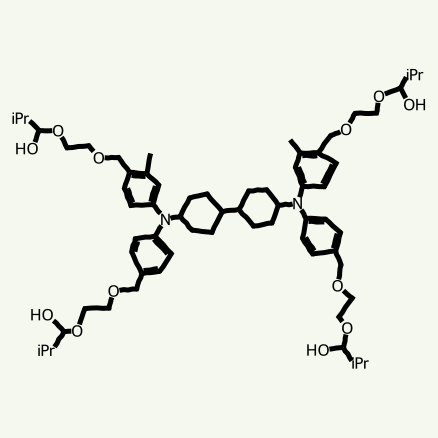 Cc1cc(N(c2ccc(COCCOC(O)C(C)C)cc2)C2CCC(C3CCC(N(c4ccc(COCCOC(O)C(C)C)cc4)c4ccc(COCCOC(O)C(C)C)c(C)c4)CC3)CC2)ccc1COCCOC(O)C(C)C